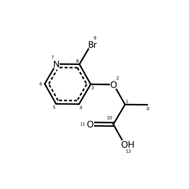 CC(Oc1cccnc1Br)C(=O)O